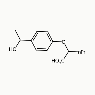 CCCC(Oc1ccc(C(C)O)cc1)C(=O)O